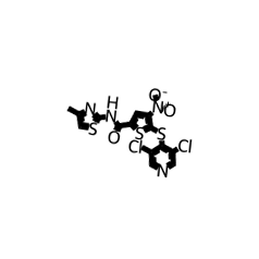 Cc1csc(NC(=O)c2cc([N+](=O)[O-])c(Sc3c(Cl)cncc3Cl)s2)n1